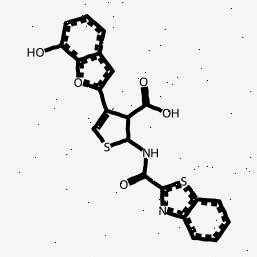 O=C(NC1SC=C(c2cc3cccc(O)c3o2)C1C(=O)O)c1nc2ccccc2s1